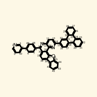 c1cncc(-c2ccc(-c3nc4ccc(-c5ccc6c7ccccc7c7ccccc7c6c5)nc4c4c3ccc3c5ccccc5oc34)cc2)c1